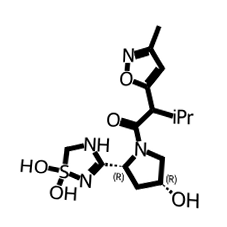 Cc1cc(C(C(=O)N2C[C@H](O)C[C@@H]2C2=NS(O)(O)CN2)C(C)C)on1